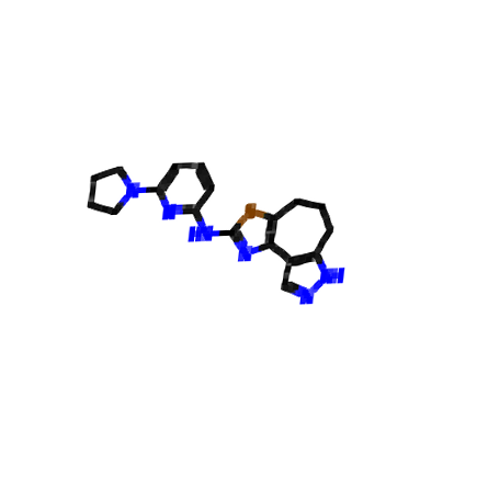 c1cc(Nc2nc3c(s2)CCCc2[nH]ncc2-3)nc(N2CCCC2)c1